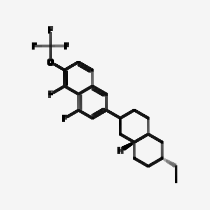 CC[C@@H]1CC[C@@H]2CC(c3cc(F)c4c(F)c(OC(F)(F)F)ccc4c3)CCC2C1